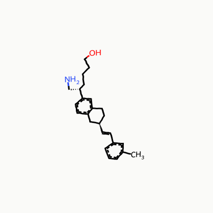 Cc1cccc(/C=C/[C@@H]2CCc3cc([C@H](CN)CCCCO)ccc3C2)c1